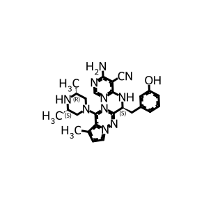 Cc1ccn2nc([C@H](Cc3cccc(O)c3)Nc3ncnc(N)c3C#N)nc(N3C[C@@H](C)N[C@@H](C)C3)c12